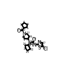 O=C(C1CCCC1)N1CCC(N(C(=O)Nc2ncc(Cl)s2)C2CCCC2)CC1